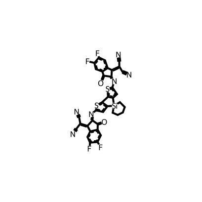 N#CC(C#N)=C1/C(=N/c2cc3c(s2)-c2sc(/N=C4\C(=O)c5cc(F)c(F)cc5C4=C(C#N)C#N)cc2[Si]32CCCCC2)C(=O)c2cc(F)c(F)cc21